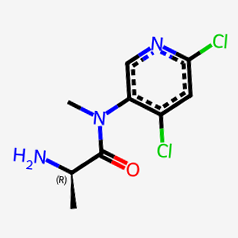 C[C@@H](N)C(=O)N(C)c1cnc(Cl)cc1Cl